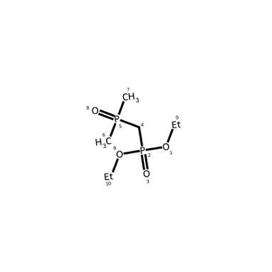 CCOP(=O)(CP(C)(C)=O)OCC